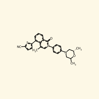 Cc1cn(-c2ccc(N3CC(C)O[C@@H](C)C3)cc2)c(=O)c2cccc(-c3ccc(C#N)s3)c12